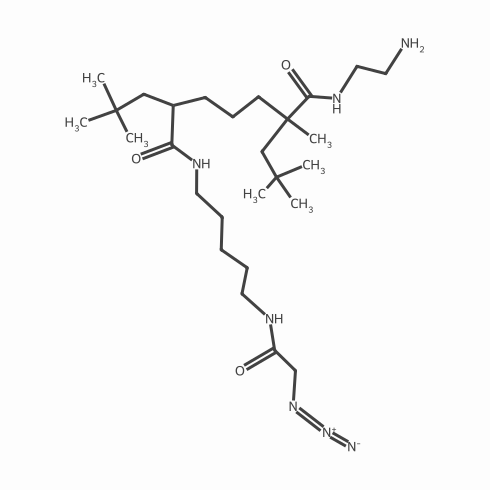 CC(C)(C)CC(CCCC(C)(CC(C)(C)C)C(=O)NCCN)C(=O)NCCCCCNC(=O)CN=[N+]=[N-]